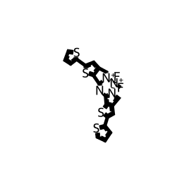 F[N+]1(F)n2cc3cc(-c4cccs4)sc3c2N=C2c3sc(-c4cccs4)cc3C=[N+]21